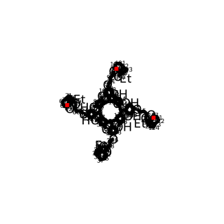 CCC1(OC(=O)CCOc2ccc(C3c4cc(c(O)cc4O)C(c4ccc(OCCC(=O)OC5(CC)C6CC7CC(C6)CC5C7)cc4)c4cc(c(O)cc4O)C(c4ccc(OCCC(=O)OC5(CC)C6CC7CC(C6)CC5C7)cc4)c4cc(c(O)cc4O)C(c4ccc(OCCC(=O)OC5(CC)C6CC7CC(C6)CC5C7)cc4)c4cc3c(O)cc4O)cc2)C2CC3CC(C2)CC1C3